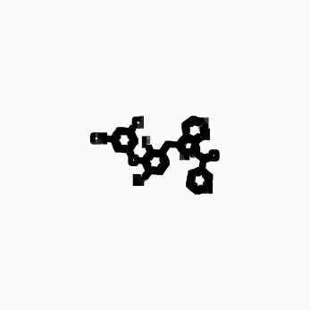 [C-]#[N+]c1cc(Cl)cc(Oc2c(Br)ccc(Cc3nn(C(=O)c4cccnc4)c4nnccc34)c2F)c1